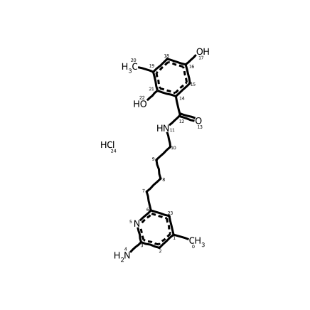 Cc1cc(N)nc(CCCCNC(=O)c2cc(O)cc(C)c2O)c1.Cl